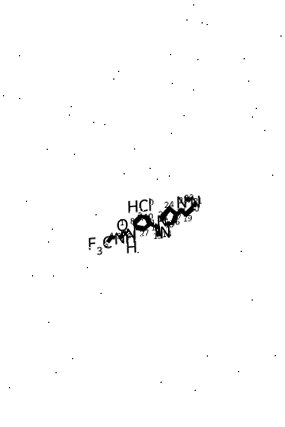 Cl.O=C(NCC(F)(F)F)Nc1cccc(-c2cnc3cc(-c4ccncn4)ccn23)c1